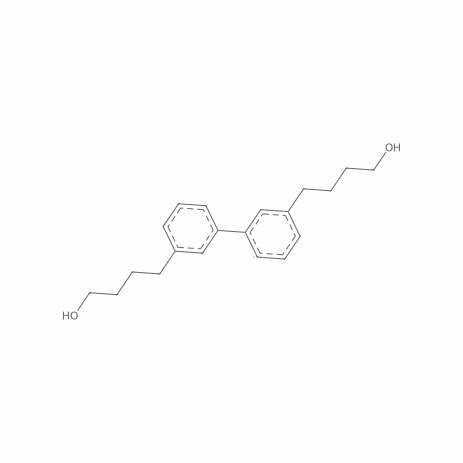 OCCCCc1cc[c]c(-c2cccc(CCCCO)c2)c1